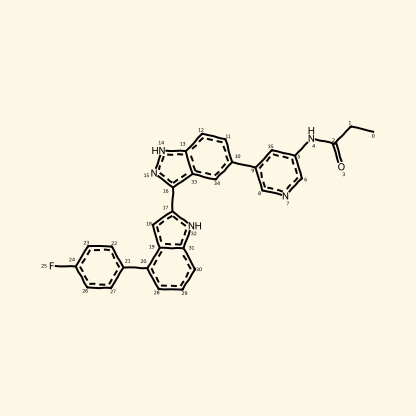 CCC(=O)Nc1cncc(-c2ccc3[nH]nc(-c4cc5c(-c6ccc(F)cc6)cccc5[nH]4)c3c2)c1